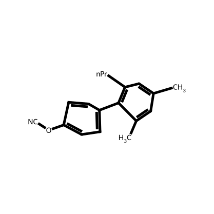 CCCc1cc(C)cc(C)c1-c1ccc(OC#N)cc1